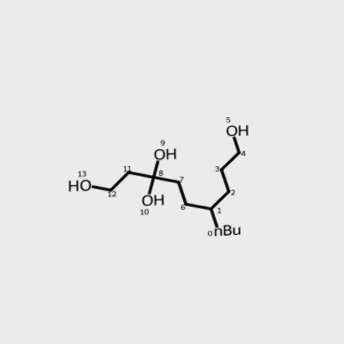 CCCCC(CCCO)CCC(O)(O)CCO